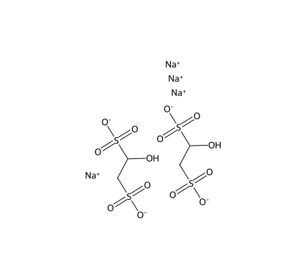 O=S(=O)([O-])CC(O)S(=O)(=O)[O-].O=S(=O)([O-])CC(O)S(=O)(=O)[O-].[Na+].[Na+].[Na+].[Na+]